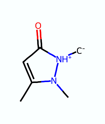 [CH2-][NH+]1C(=O)C=C(C)N1C